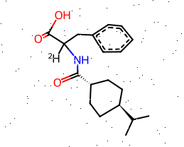 [2H]C(Cc1ccccc1)(NC(=O)[C@H]1CC[C@H](C(C)C)CC1)C(=O)O